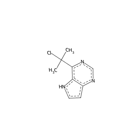 CC(C)(Cl)c1ncnc2cc[nH]c12